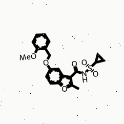 COc1ccccc1COc1ccc2oc(C)c(C(=O)NS(=O)(=O)C3CC3)c2c1